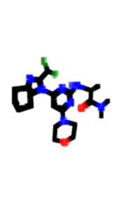 C[C@H](Nc1nc(N2CCOCC2)cc(-n2c(C(F)F)nc3ccccc32)n1)C(=O)N(C)C